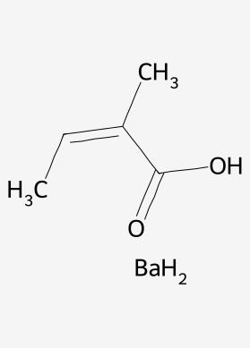 CC=C(C)C(=O)O.[BaH2]